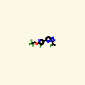 CC(F)c1nnc2ccc(-c3cnc(OCC(F)(F)F)c(F)c3)nn12